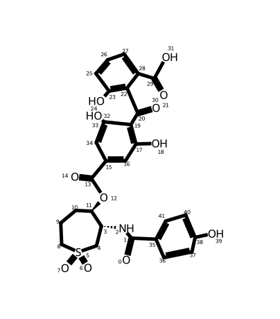 O=C(N[C@@H]1CS(=O)(=O)CCC[C@H]1OC(=O)c1cc(O)c(C(=O)c2c(O)cccc2C(=O)O)c(O)c1)c1ccc(O)cc1